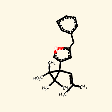 CC(C)=CC1(c2coc(Cc3ccccc3)c2)C(C)(C)C1(C)C(=O)O